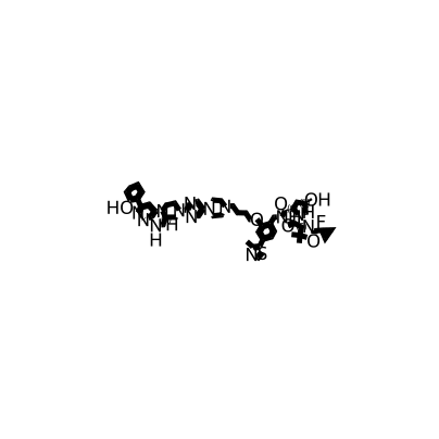 Cc1ncsc1-c1ccc(CNC(=O)[C@@H]2C[C@@H](O)CN2C(=O)[C@@H](NC(=O)C2(F)CC2)C(C)(C)C)c(OCCCCN2CCN(c3cnc(N4CCN5c6cc(-c7ccccc7O)nnc6NC[C@H]5C4)nc3)CC2)c1